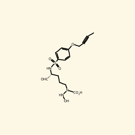 CC#CCOc1ccc(S(=O)(=O)N[C@@H](C=O)CCCN(NO)C(=O)O)cc1